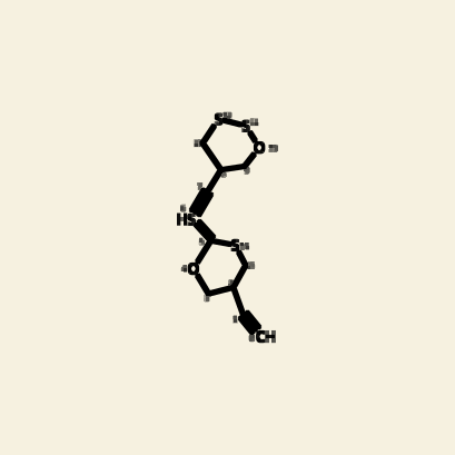 C#CC1COC(=[SH]#CC2COSSC2)SC1